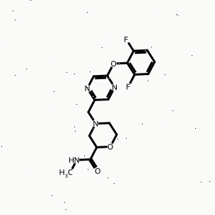 CNC(=O)C1CN(Cc2cnc(Oc3c(F)cccc3F)cn2)CCO1